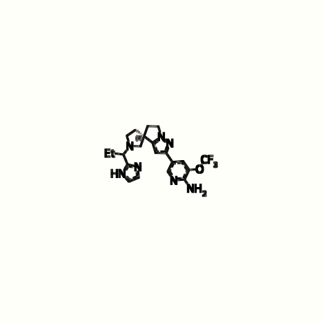 CCC(c1ncc[nH]1)N1CC[C@@]2(CCn3nc(-c4cnc(N)c(OC(F)(F)F)c4)cc32)C1